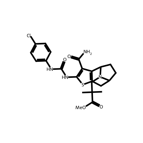 COC(=O)C(C)(C)CN1C2CCC1c1c(sc(NC(=O)Nc3ccc(Cl)cc3)c1C(N)=O)C2